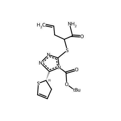 C=CCC(Sc1nnc([C@@H]2CC=CS2)n1C(=O)OC(C)(C)C)C(N)=O